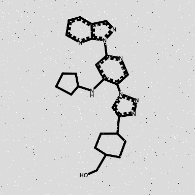 OCC1CCC(c2cn(-c3cnc(-n4ncc5cccnc54)cc3NC3CCCC3)nn2)CC1